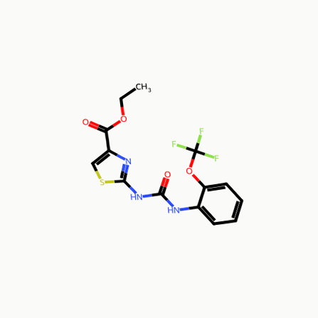 CCOC(=O)c1csc(NC(=O)Nc2ccccc2OC(F)(F)F)n1